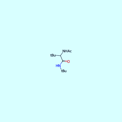 CC(=O)NC(C(=O)NC(C)(C)C)C(C)(C)C